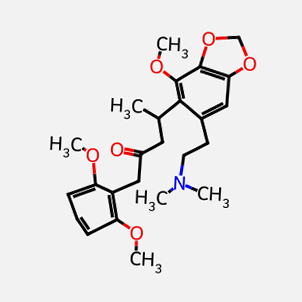 COc1cccc(OC)c1CC(=O)CC(C)c1c(CCN(C)C)cc2c(c1OC)OCO2